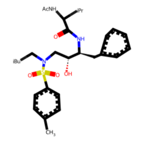 CCC(C)CN(C[C@@H](O)[C@H](Cc1ccccc1)NC(=O)C(NC(C)=O)C(C)C)S(=O)(=O)c1ccc(C)cc1